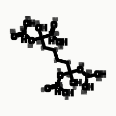 O=[PH](O)OC(O)(CCCCC(O)(O[PH](=O)O)[PH](=O)O)OP(O)O